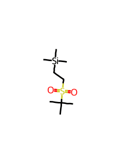 CC(C)(C)S(=O)(=O)CC[Si](C)(C)C